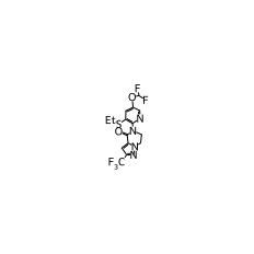 CCSc1cc(OC(F)F)cnc1N1CCn2nc(C(F)(F)F)cc2C1=O